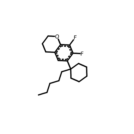 CCCCCC1(c2cc3c(c(F)c2F)OCCC3)CCCCC1